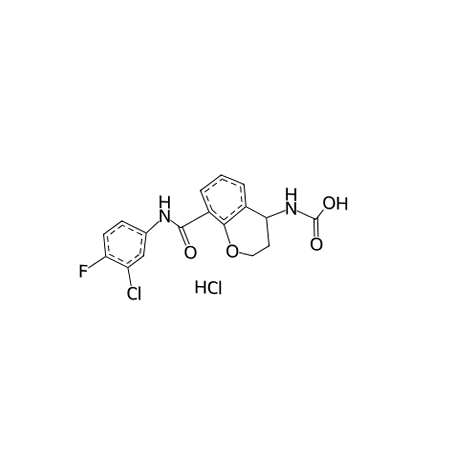 Cl.O=C(O)NC1CCOc2c(C(=O)Nc3ccc(F)c(Cl)c3)cccc21